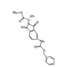 CCC[C@@H](C(=O)OC(C)(C)C)N1C(=O)c2ccc(NC(=O)OCc3ccccc3)cc2C1=O